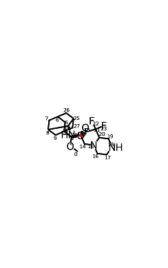 COC(=O)C12CC3CC(C1)C(NC(=O)CN1CCNCC1C(F)(F)F)C(C3)C2